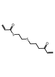 C=CC(=O)CCCSCCSC(=O)C=C